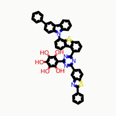 Oc1c(O)c(O)c(-c2nc(-c3ccc4sc(-c5ccccc5)nc4c3)nc(-c3cccc4sc5c(-n6c7ccccc7c7cc(-c8ccccc8)ccc76)cccc5c34)n2)c(O)c1O